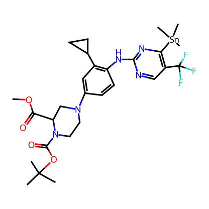 COC(=O)C1CN(c2ccc(Nc3ncc(C(F)(F)F)[c]([Sn]([CH3])([CH3])[CH3])n3)c(C3CC3)c2)CCN1C(=O)OC(C)(C)C